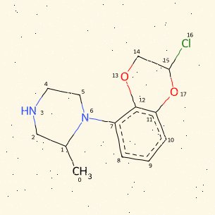 CC1CNCCN1c1cccc2c1OCC(Cl)O2